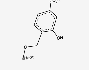 CCCCCCCOCc1ccc(C(=O)O)cc1O